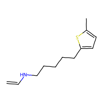 C=CNCCCCCc1ccc(C)s1